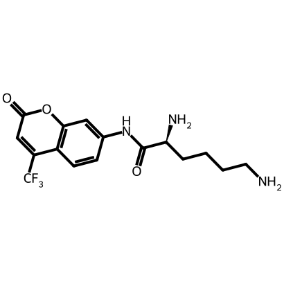 NCCCC[C@H](N)C(=O)Nc1ccc2c(C(F)(F)F)cc(=O)oc2c1